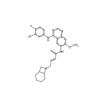 COc1cc2ncnc(Nc3ccc(F)c(Cl)c3)c2cc1NC(=O)/C=C/CN1CC2CCCCC21